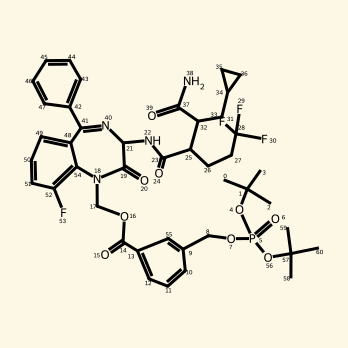 CC(C)(C)OP(=O)(OCc1cccc(C(=O)OCN2C(=O)C(NC(=O)C(CCC(F)(F)F)C(CC3CC3)C(N)=O)N=C(c3ccccc3)c3cccc(F)c32)c1)OC(C)(C)C